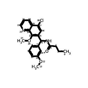 CCCC(=O)NC(c1cccc(OC)c1)c1cc(Cl)c2cccnc2c1OC